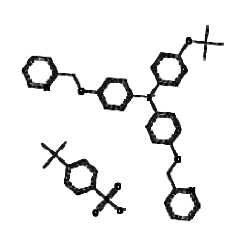 CC(C)(C)Oc1ccc([S+](c2ccc(OCc3ccccn3)cc2)c2ccc(OCc3ccccn3)cc2)cc1.CC(C)(C)c1ccc(S(=O)(=O)[O-])cc1